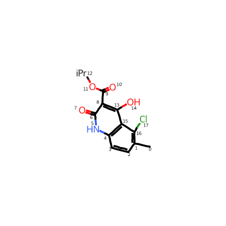 Cc1ccc2[nH]c(=O)c(C(=O)OC(C)C)c(O)c2c1Cl